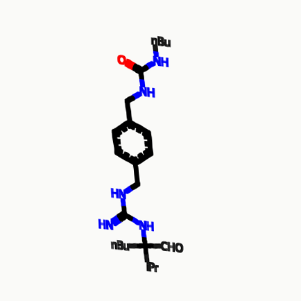 CCCCNC(=O)NCc1ccc(CNC(=N)NC(C=O)(CCCC)C(C)C)cc1